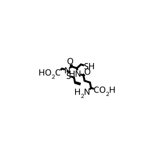 C=CCSN(CC(=O)O)C(=O)C(CS)NC(=O)CCC(N)C(=O)O